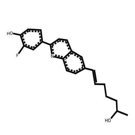 CC(O)CCC/C=C/c1ccc2nc(-c3ccc(O)c(F)c3)ccc2c1